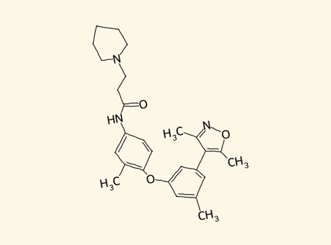 Cc1cc(Oc2ccc(NC(=O)CCN3CCCCC3)cc2C)cc(-c2c(C)noc2C)c1